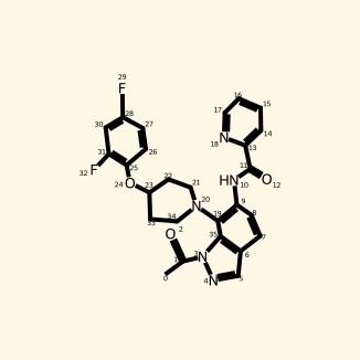 CC(=O)n1ncc2ccc(NC(=O)c3ccccn3)c(N3CCC(Oc4ccc(F)cc4F)CC3)c21